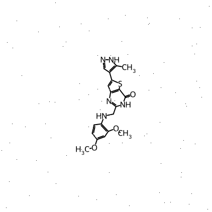 COc1ccc(NCc2nc3cc(-c4cn[nH]c4C)sc3c(=O)[nH]2)c(OC)c1